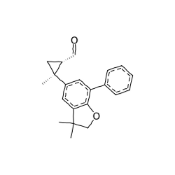 CC1(C)COc2c(-c3ccccc3)cc([C@@]3(C)C[C@@H]3C=O)cc21